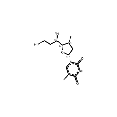 [2H][C@H](CCO)[C@H]1O[C@@H](n2cc(C)c(=O)[nH]c2=O)C[C@@H]1C